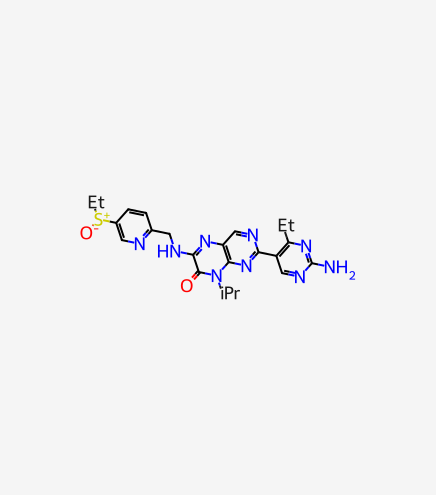 CCc1nc(N)ncc1-c1ncc2nc(NCc3ccc([S+]([O-])CC)cn3)c(=O)n(C(C)C)c2n1